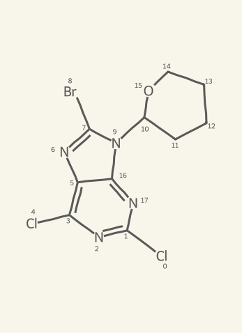 Clc1nc(Cl)c2nc(Br)n(C3CCCCO3)c2n1